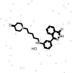 Cl.O=C1CCN(CCCCCNc2cccc(-c3n[nH]c(=O)c4ccccc34)c2)CC1